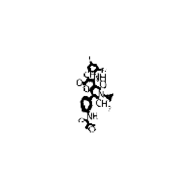 Cc1c(Nc2ccc(I)cc2F)c2c(=O)n(C3CC3)c(C)c(-c3cccc(NC(=O)C4COC4)c3)c2oc1=O